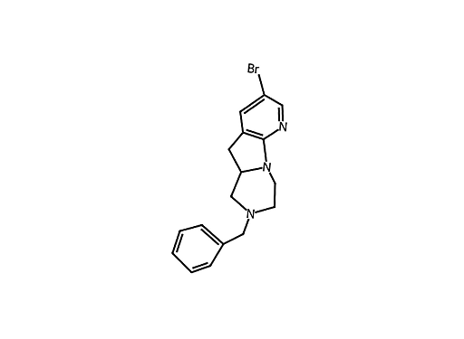 Brc1cnc2c(c1)CC1CN(Cc3ccccc3)CCN21